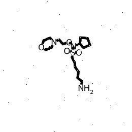 NCCCCCCS(=O)(=O)N(OCCN1CCOCC1)C1CCCC1